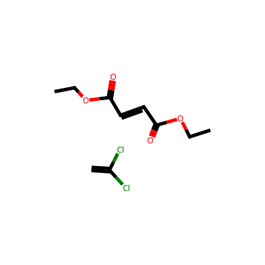 C=C(Cl)Cl.CCOC(=O)C=CC(=O)OCC